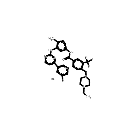 CCN1CCN(Cc2ccc(C(=O)Nc3ccc(C)c(Nc4nccc(-c5cncc(Br)c5)n4)c3)cc2C(F)(F)F)CC1.Cl